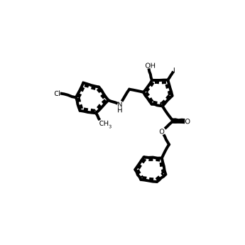 Cc1cc(Cl)ccc1NCc1cc(C(=O)OCc2ccccc2)cc(I)c1O